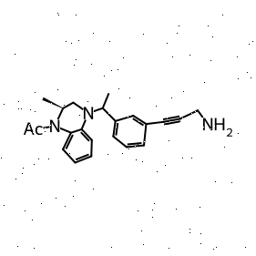 CC(=O)N1c2ccccc2N(C(C)c2cccc(C#CCN)c2)C[C@@H]1C